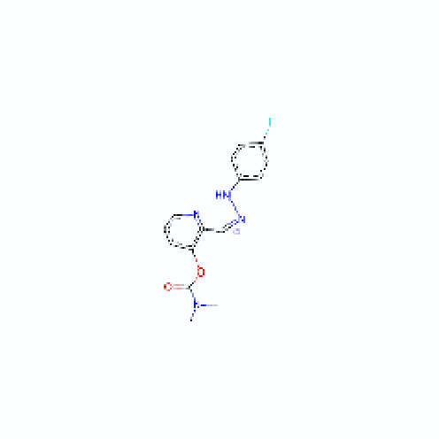 CN(C)C(=O)Oc1cccnc1/C=N\Nc1ccc(F)cc1